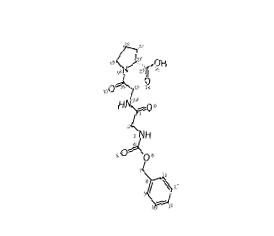 O=C(CNC(=O)OCc1ccccc1)NCC(=O)N1CCC[C@@H]1C(=O)O